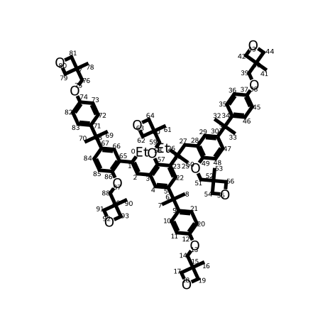 CC/C(=C\c1cc(C(C)(C)c2ccc(OCC3(C)COC3)cc2)cc(C(C)(CC)Cc2cc(C(C)(C)c3ccc(OCC4(C)COC4)cc3)ccc2OCC2(C)COC2)c1OCC1(C)COC1)c1cc(C(C)(C)c2ccc(OCC3(C)COC3)cc2)ccc1OCC1(C)COC1